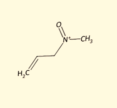 C=CC[N+](C)=O